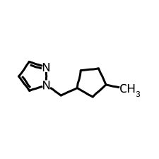 CC1CCC(Cn2cccn2)C1